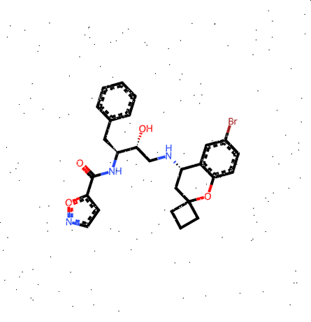 O=C(N[C@@H](Cc1ccccc1)[C@H](O)CN[C@H]1CC2(CCC2)Oc2ccc(Br)cc21)c1ccno1